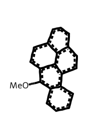 COc1c2ccccc2c2ccc3cccc4ccc1c2c43